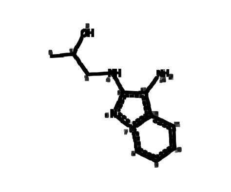 CC(O)CNc1nn2ccccc2c1N